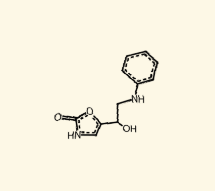 O=c1[nH]cc(C(O)CNc2ccccc2)o1